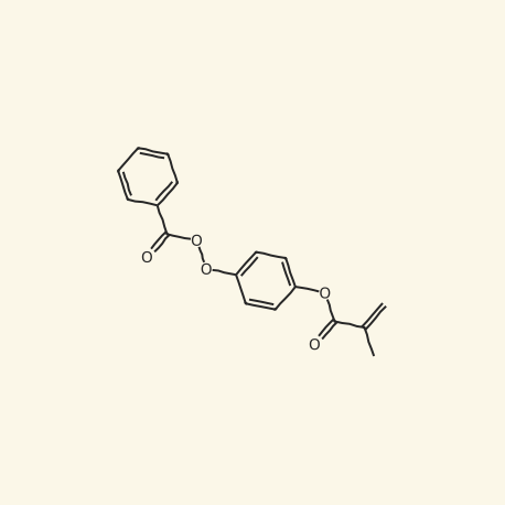 C=C(C)C(=O)Oc1ccc(OOC(=O)c2ccccc2)cc1